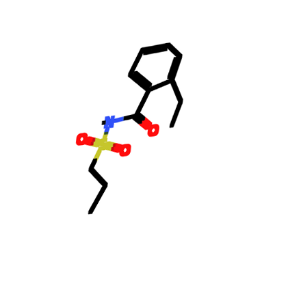 CCCS(=O)(=O)[N]C(=O)c1ccccc1CC